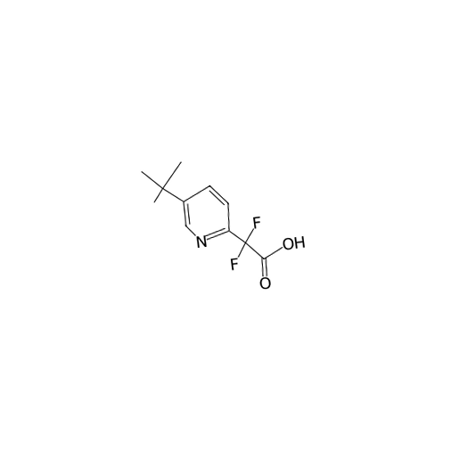 CC(C)(C)c1ccc(C(F)(F)C(=O)O)nc1